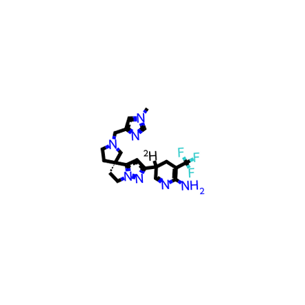 [2H]C1(c2cc3n(n2)CC[C@@]32CCN(Cc3cn(C)cn3)C2)C=NC(N)=C(C(F)(F)F)C1